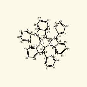 c1ccc(N2B3N(B4N(B5N3c3ncccc3N5c3ccccn3)c3ncccc3N4c3ccccn3)c3ncccc32)nc1